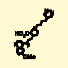 COc1ccc2nccc([C@@H](F)CC[C@@H]3CCN(CCCCc4cncnc4)C[C@@H]3C(=O)O)c2c1